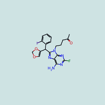 CC(=O)CCCn1c(C(C2=COCO2)c2ccccc2I)nc2c(N)nc(F)nc21